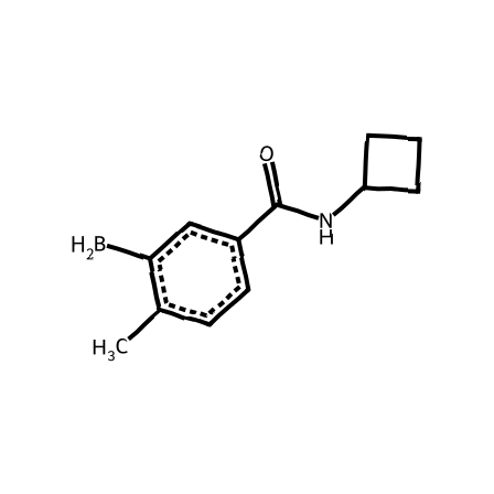 Bc1cc(C(=O)NC2CCC2)ccc1C